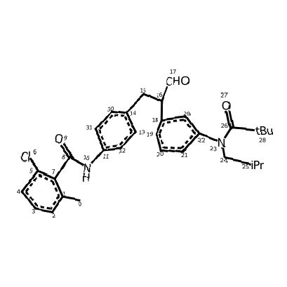 Cc1cccc(Cl)c1C(=O)Nc1ccc(CC(C=O)c2cccc(N(CC(C)C)C(=O)C(C)(C)C)c2)cc1